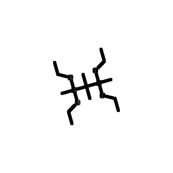 CCO[Si](C)(OCC)C(C)(C)[Si](C)(OCC)OCC